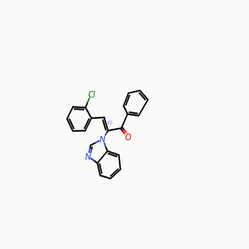 O=C(/C(=C/c1ccccc1Cl)n1cnc2ccccc21)c1ccccc1